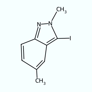 Cc1ccc2nn(C)c(I)c2c1